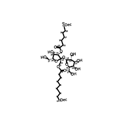 CCCCCCCCCCCCCCCCCC(=O)OC[C@@]1(O[C@H]2O[C@H](CO)[C@@H](O)[C@H](O)[C@H]2O)O[C@H](CO)[C@@H](O)[C@@H]1OC(=O)CCCCCCCCCCCCCCC